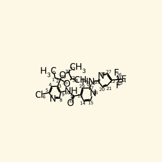 CCC1(c2cc(Cl)ncc2NC(=O)c2ccnc(Nc3ccc(C(F)(F)F)cn3)c2)OC(C)C(C)O1